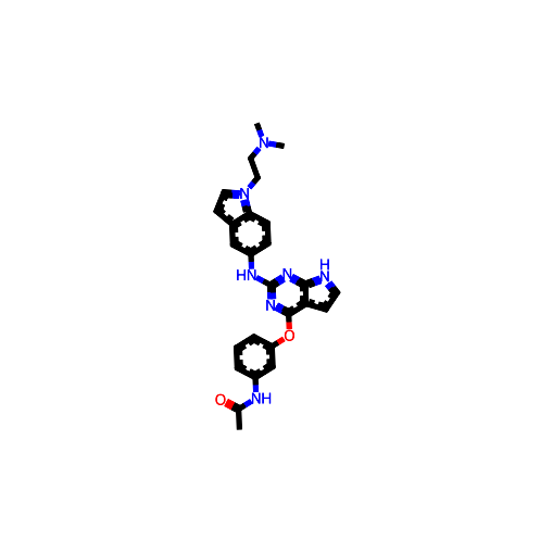 CC(=O)Nc1cccc(Oc2nc(Nc3ccc4c(ccn4CCN(C)C)c3)nc3[nH]ccc23)c1